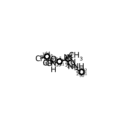 Cn1nc(-c2ccc(NS(=O)(=O)c3cccc(Cl)c3Cl)cc2)c2cnc(NCc3ccccc3)nc21